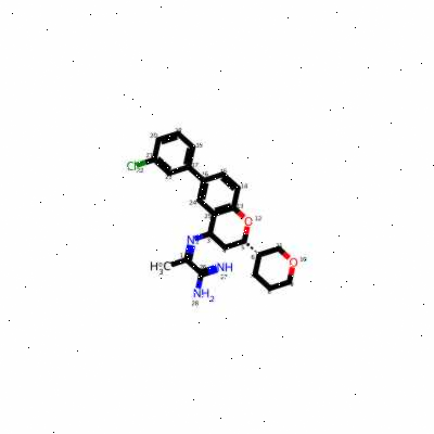 C/C(=N/C1CC([C@H]2CCCOC2)Oc2ccc(-c3cccc(Cl)c3)cc21)C(=N)N